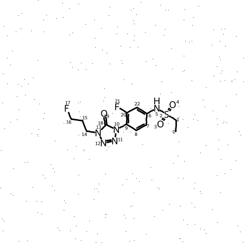 CCS(=O)(=O)Nc1ccc(-n2nnn(CCCF)c2=O)c(F)c1